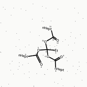 CCCCCCCC(=O)OC(CC)(OC(=O)CCCCCCC)OC(=O)CCCCCCC